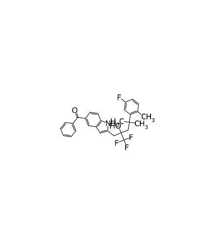 Cc1ccc(F)cc1C(C)(C)CC(O)(Cc1cc2cc(C(=O)c3ccccc3)ccc2[nH]1)C(F)(F)F